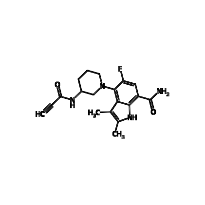 C#CC(=O)NC1CCCN(c2c(F)cc(C(N)=O)c3[nH]c(C)c(C)c23)C1